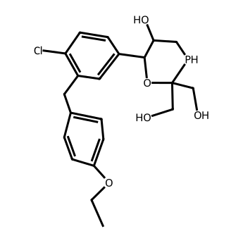 CCOc1ccc(Cc2cc(C3OC(CO)(CO)PCC3O)ccc2Cl)cc1